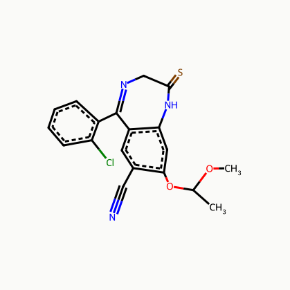 COC(C)Oc1cc2c(cc1C#N)C(c1ccccc1Cl)=NCC(=S)N2